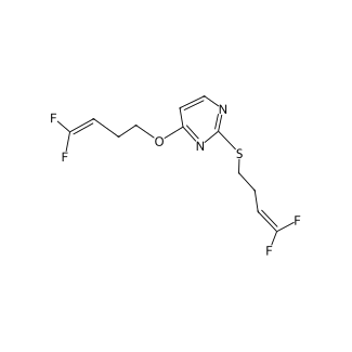 FC(F)=CCCOc1ccnc(SCCC=C(F)F)n1